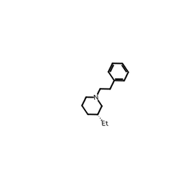 CC[C@@H]1CCCN(CCc2ccccc2)C1